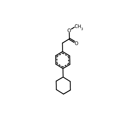 COC(=O)Cc1ccc(C2CCCCC2)cc1